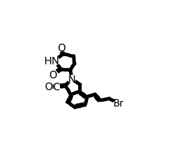 O=C=C1c2cccc(/C=C/CBr)c2CN1C1CCC(=O)NC1=O